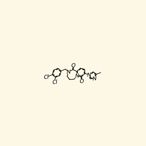 Cc1cn(-c2ccc3n(c2=O)CCCN(Cc2ccc(Cl)c(Cl)c2)C3=O)cn1